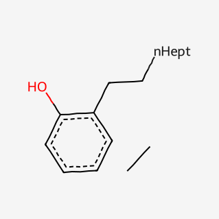 CC.CCCCCCCCCc1ccccc1O